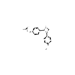 COc1ccc(C2CCC2c2ccc(NC(C)=O)cc2)cc1